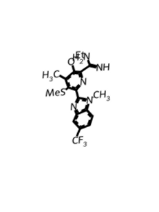 CCOc1c(C(=N)N)nc(-c2nc3cc(C(F)(F)F)ccc3n2C)c(SC)c1C